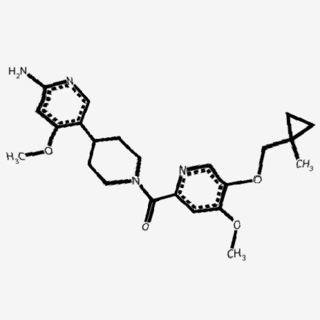 COc1cc(C(=O)N2CCC(c3cnc(N)cc3OC)CC2)ncc1OCC1(C)CC1